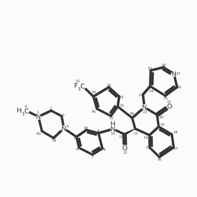 CN1CCN(c2cccc(NC(=O)[C@@H]3c4ccccc4C(=O)N(Cc4ccncc4)C3c3ccc(C(F)(F)F)cc3)c2)CC1